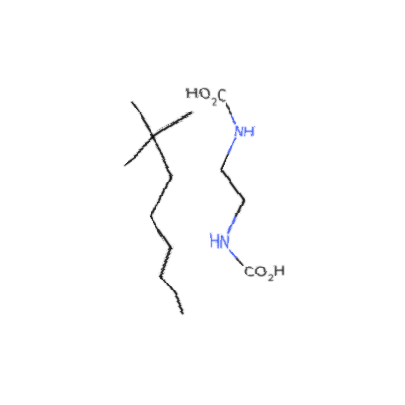 CCCCCC(C)(C)C.O=C(O)NCCNC(=O)O